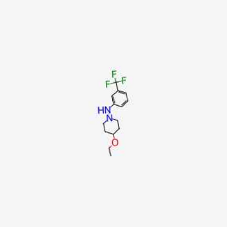 CCOC1CCN(Nc2cccc(C(F)(F)F)c2)CC1